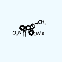 C=CCN1CCC2(c3cccc(OC)c3)Cc3[nH]c4c([N+](=O)[O-])cccc4c3CC2C1